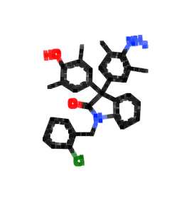 Cc1cc(C2(c3cc(C)c(O)c(C)c3)C(=O)N(Cc3ccccc3Cl)c3ccccc32)cc(C)c1N